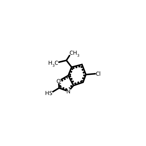 CC(C)c1cc(Cl)cc2nc(S)oc12